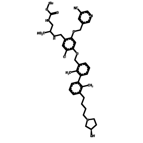 Cc1c(CCCCN2CC[C@@H](O)C2)cccc1-c1cccc(COc2cc(OCc3cncc(C#N)c3)c(CNC(CNC(=O)OC(C)(C)C)C(=O)O)cc2Cl)c1C